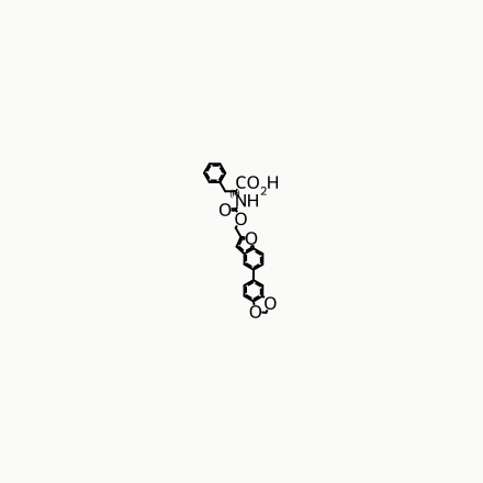 O=C(N[C@H](Cc1ccccc1)C(=O)O)OCc1cc2cc(-c3ccc4c(c3)OCO4)ccc2o1